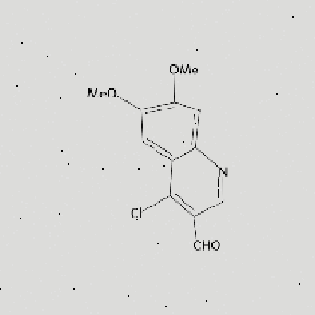 COc1cc2ncc(C=O)c(Cl)c2cc1OC